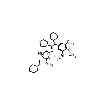 COc1cc([C@@H](C(=O)N2CCCC[C@H]2C(=O)N[C@@H](CCC2CCCCC2)C(N)=O)C2CCCCC2)cc(C)c1OC